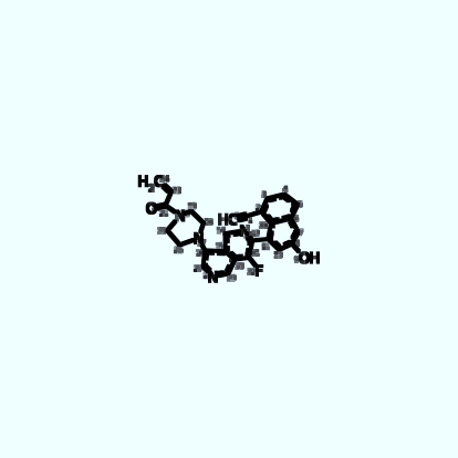 C#Cc1cccc2cc(O)cc(-c3ncc4c(N5CCN(C(=O)C=C)CC5)cncc4c3F)c12